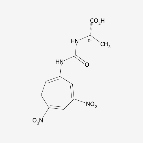 C[C@H](NC(=O)NC1=CCC([N+](=O)[O-])=CC([N+](=O)[O-])=C1)C(=O)O